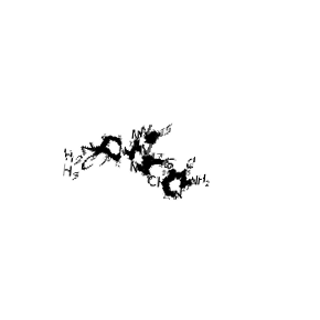 Cc1nc(N2CCC(C)(N)CC2)c2nncn2c1Sc1ccnc(N)c1Cl